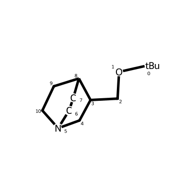 CC(C)(C)OCC1CN2CCC1CC2